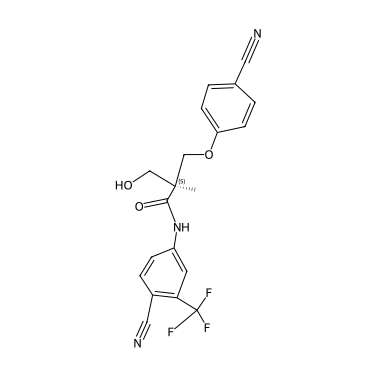 C[C@](CO)(COc1ccc(C#N)cc1)C(=O)Nc1ccc(C#N)c(C(F)(F)F)c1